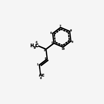 CC(=O)/C=C/C(C)c1ccccc1